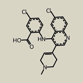 CN1CC=C(c2cnc3ccc(Cl)cc3c2Nc2ccc(Cl)cc2C(=O)O)CC1